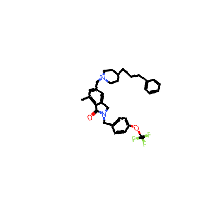 Cc1cc(CN2CCC(CCCc3ccccc3)CC2)cc2c1C(=O)N(Cc1ccc(OC(F)(F)F)cc1)C2